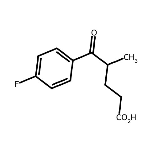 CC(CCC(=O)O)C(=O)c1ccc(F)cc1